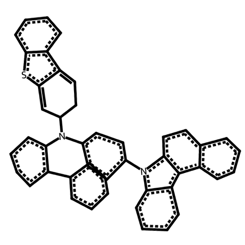 C1=c2sc3ccccc3c2=CCC1N(c1ccc(-n2c3ccccc3c3c4ccccc4ccc32)cc1)c1ccccc1-c1ccccc1